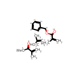 C=C(C)C(=O)O.C=C(C)C(=O)OC.C=C(C)C(=O)OCc1ccccc1